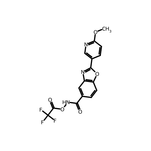 COc1ccc(-c2nc3cc(C(=O)NOC(=O)C(F)(F)F)ccc3o2)cn1